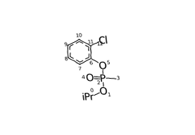 CC(C)OP(C)(=O)Oc1ccccc1Cl